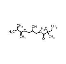 C=C(C)C(=C)OCC(O)COC(=O)C(C)(C)CC